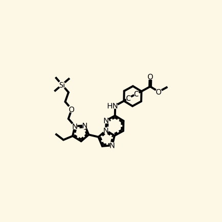 CCc1cc(-c2cnc3ccc(NC45CCC(C(=O)OC)(CC4)CC5)nn23)nn1COCC[Si](C)(C)C